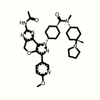 COc1ccc(-c2nn([C@H]3CC[C@H](C(=O)N(C)[C@H]4CC[C@@](C)(N5CCCC5)CC4)CC3)c3c2OCc2nc(NC(C)=O)sc2-3)cn1